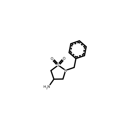 NC1CN(Cc2ccccc2)S(=O)(=O)C1